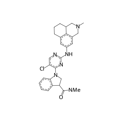 CNC(=O)C1CN(c2nc(Nc3cc4c5c(c3)CN(C)CC5CCC4)ncc2Cl)c2ccccc21